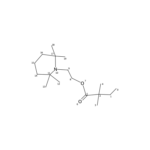 CCC(C)(C)C(=O)OCCN1C(C)(C)CCCC1(C)C